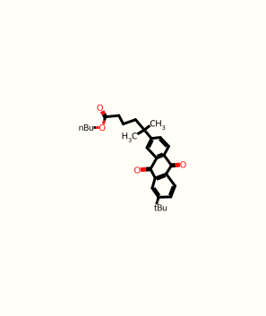 CCCCOC(=O)CCCC(C)(C)c1ccc2c(c1)C(=O)c1cc(C(C)(C)C)ccc1C2=O